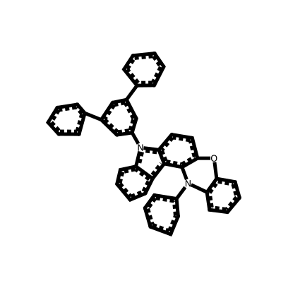 c1ccc(-c2cc(-c3ccccc3)cc(-n3c4ccccc4c4c5c(ccc43)Oc3ccccc3N5c3ccccc3)c2)cc1